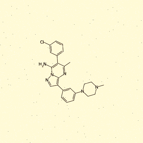 Cc1nc2c(-c3cccc(N4CCN(C)CC4)c3)cnn2c(N)c1-c1cccc(Cl)c1